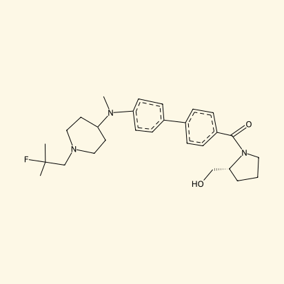 CN(c1ccc(-c2ccc(C(=O)N3CCC[C@@H]3CO)cc2)cc1)C1CCN(CC(C)(C)F)CC1